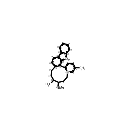 CNC1CC[n+]2cc(C)ccc2-c2c(ccc3c2oc2ccccc23)CCC1C